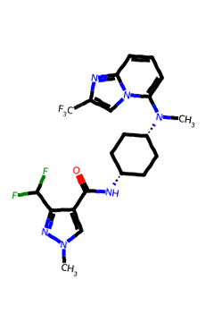 Cn1cc(C(=O)N[C@H]2CC[C@@H](N(C)c3cccc4nc(C(F)(F)F)cn34)CC2)c(C(F)F)n1